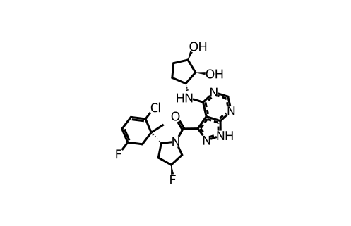 CC1([C@H]2C[C@H](F)CN2C(=O)c2n[nH]c3ncnc(N[C@@H]4CC[C@@H](O)[C@H]4O)c23)CC(F)=CC=C1Cl